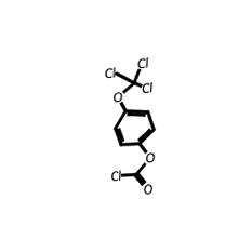 O=C(Cl)Oc1ccc(OC(Cl)(Cl)Cl)cc1